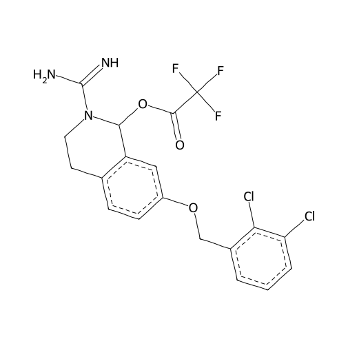 N=C(N)N1CCc2ccc(OCc3cccc(Cl)c3Cl)cc2C1OC(=O)C(F)(F)F